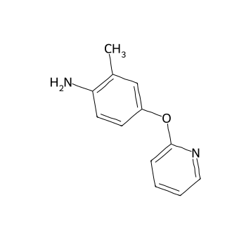 Cc1cc(Oc2ccccn2)ccc1N